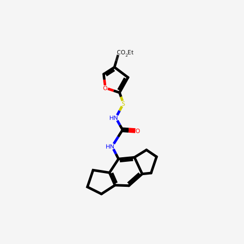 CCOC(=O)c1coc(SNC(=O)Nc2c3c(cc4c2CCC4)CCC3)c1